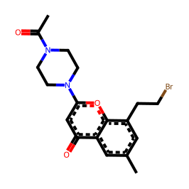 CC(=O)N1CCN(c2cc(=O)c3cc(C)cc(CCBr)c3o2)CC1